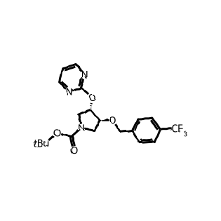 CC(C)(C)OC(=O)N1C[C@H](OCc2ccc(C(F)(F)F)cc2)[C@@H](Oc2ncccn2)C1